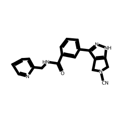 N#CN1Cc2[nH]nc(-c3cccc(C(=O)NCc4ccccn4)c3)c2C1